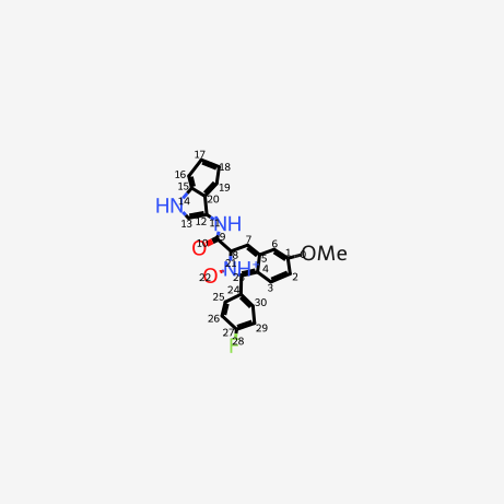 COc1ccc2c(c1)=CC(C(=O)Nc1c[nH]c3ccccc13)[NH+]([O-])C=2c1ccc(F)cc1